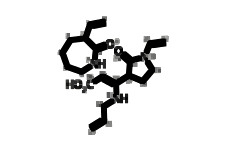 C=CC1CCCCNC1=O.C=CCNC(=CC(=O)O)C1CCN(C=C)C1=O